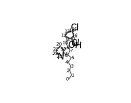 CCCCCCCCC(O)(Cc1ccc(Cl)cc1Cl)c1cccnc1